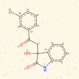 O=C(CC1(O)C(=O)Nc2ccccc21)c1cccc(Cl)c1